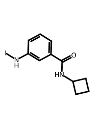 O=C(NC1CCC1)c1cccc(NI)c1